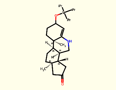 CC(C)[Si](OC1C=C2NC[C@@H]3[C@@H](CC[C@]4(C)CC(=O)C[C@@H]34)[C@@]2(C)CC1)(C(C)C)C(C)C